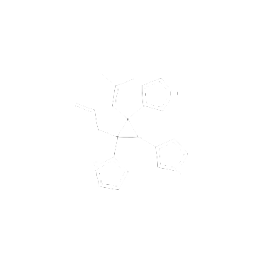 C=CCC1(c2cccs2)[C](c2ccsc2)C1(C=C(C)C)c1ccoc1